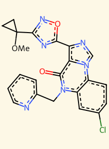 COC1(c2noc(-c3ncn4c3c(=O)n(Cc3ccccn3)c3cc(Cl)ccc34)n2)CC1